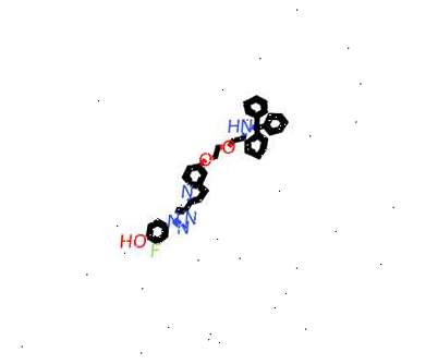 Oc1ccc(-n2cc(-c3ccc4cc(OCCOCCNC(c5ccccc5)(c5ccccc5)c5ccccc5)ccc4n3)nn2)cc1F